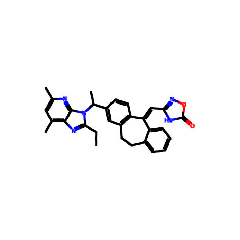 CCc1nc2c(C)cc(C)nc2n1C(C)c1ccc2c(c1)CCc1ccccc1/C2=C\c1noc(=O)[nH]1